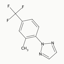 Cc1cc(C(F)(F)F)ccc1-n1nccn1